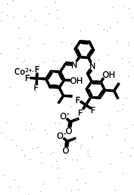 CC(=O)[O-].CC(=O)[O-].CC(C)c1cc(C(F)(F)F)cc(C=Nc2ccccc2N=Cc2cc(C(F)(F)F)cc(C(C)C)c2O)c1O.[Co+2]